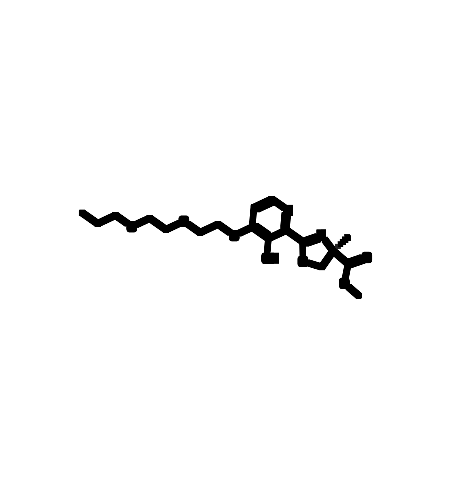 CCCOCCOCCOc1ccnc(C2=N[C@@](C)(C(=O)OC)CO2)c1O